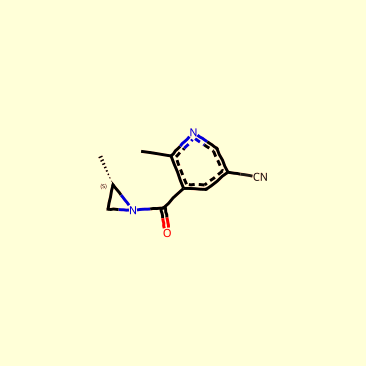 Cc1ncc(C#N)cc1C(=O)N1C[C@@H]1C